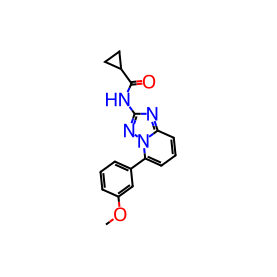 COc1cccc(-c2cccc3nc(NC(=O)C4CC4)nn23)c1